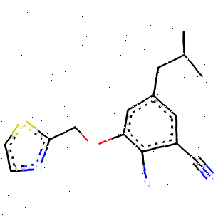 CC(C)Cc1cc(C#N)c(N)c(OCc2nccs2)c1